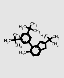 Cc1ccc2c(c1-c1cc(C(C)(C)C)cc(C(C)(C)C)c1)C=C(C(C)(C)C)[CH]2